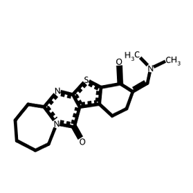 CN(C)/C=C1/CCc2c(sc3nc4n(c(=O)c23)CCCCC4)C1=O